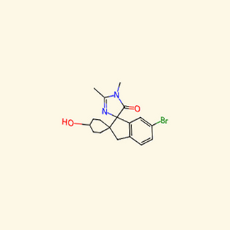 CC1=NC2(C(=O)N1C)c1cc(Br)ccc1CC21CCC(O)CC1